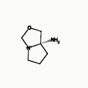 N[C@]12CCC[N+]1COC2